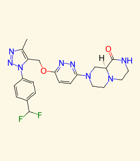 Cc1nnn(-c2ccc(C(F)F)cc2)c1COc1ccc(N2CCN3CCNC(=O)[C@@H]3C2)nn1